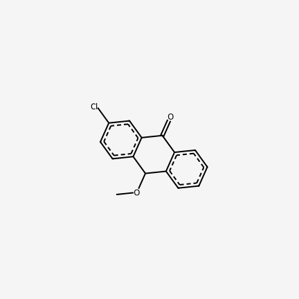 COC1c2ccccc2C(=O)c2cc(Cl)ccc21